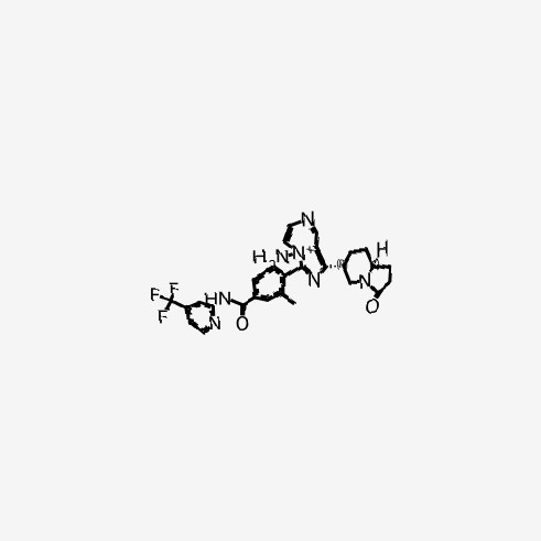 Cc1cc(C(=O)Nc2cc(C(F)(F)F)ccn2)ccc1C1=NC([C@@H]2CC[C@H]3CCC(=O)N3C2)=C2C=NC=C[N+]12N